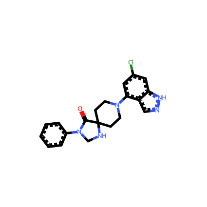 O=C1N(c2ccccc2)CNC12CCN(c1cc(Cl)cc3[nH]ncc13)CC2